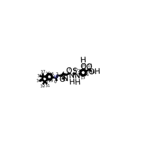 C/C(=C\c1cc(C(=O)NC(=S)Nc2ccc(C(=O)O)c(O)c2)no1)c1ccc2c(c1)C(C)(C)C(C)C2(C)C